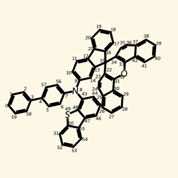 c1ccc(-c2ccc(N(c3ccc4c(c3)C3(c5ccccc5-4)c4ccc5ccccc5c4Oc4c3ccc3ccccc43)c3cccc4c3sc3ccccc34)cc2)cc1